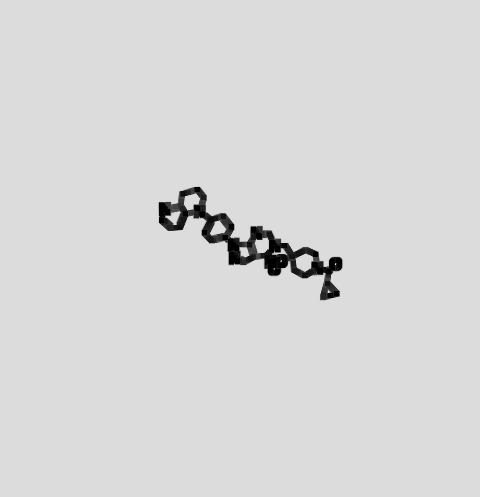 O=C(C1CC1)N1CCC(O)(Cn2cnc3c(cnn3-c3ccc(N4CCCc5ncccc54)cc3)c2=O)CC1